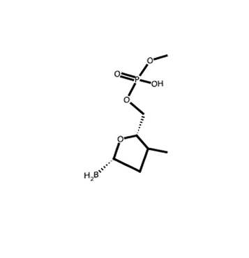 B[C@H]1CC(C)[C@@H](COP(=O)(O)OC)O1